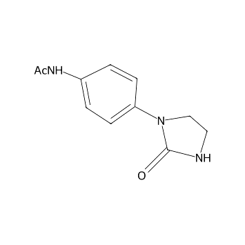 CC(=O)Nc1ccc(N2CCNC2=O)cc1